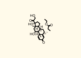 CCOC(=O)CC.C[C@H]1C[C@@H]2[C@H]([C@@H](O)C[C@@]3(C)[C@H]2CC[C@]3(O)C(=O)CO)[C@@]2(C)C=CC(=O)C=C12